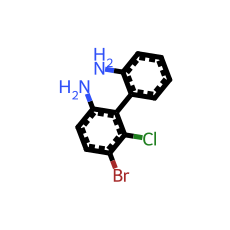 Nc1ccccc1-c1c(N)ccc(Br)c1Cl